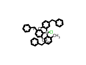 Cc1ccc(Cc2ccccc2)cc1[Si](Cl)(c1cc(Cc2ccccc2)ccc1C)c1cc(Cc2ccccc2)ccc1C